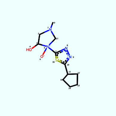 CN1CC(O)[N+]([O-])(c2nnc(C3CCCC3)s2)C1